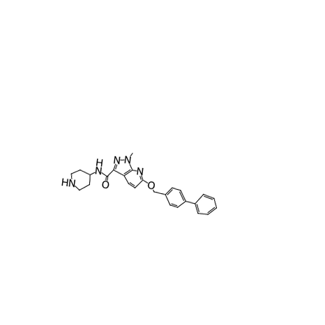 Cn1nc(C(=O)NC2CCNCC2)c2ccc(OCc3ccc(-c4ccccc4)cc3)nc21